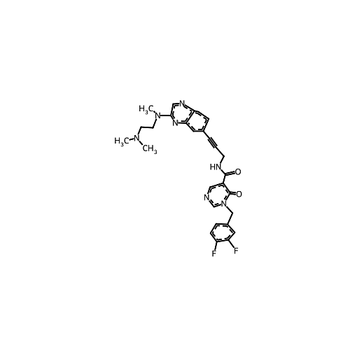 CN(C)CCN(C)c1cnc2ccc(C#CCNC(=O)c3cncn(Cc4ccc(F)c(F)c4)c3=O)cc2n1